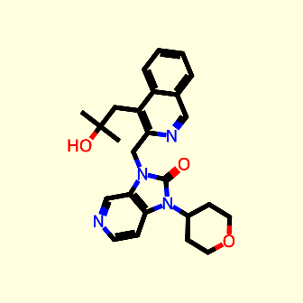 CC(C)(O)Cc1c(Cn2c(=O)n(C3CCOCC3)c3ccncc32)ncc2ccccc12